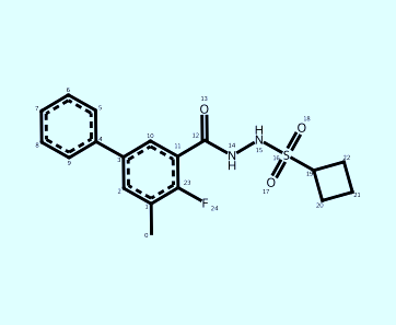 Cc1cc(-c2ccccc2)cc(C(=O)NNS(=O)(=O)C2CCC2)c1F